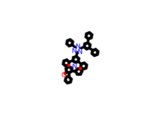 c1ccc(-c2cc(-c3ccccc3)cc(-c3nc(-c4ccccc4)nc(-c4cc(-c5ccccc5)c(-n5c6ccccc6c6c7c(ccc65)oc5ccccc57)c(-c5ccccc5)c4)n3)c2)cc1